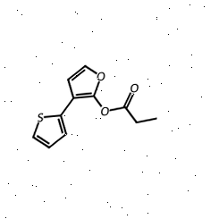 CCC(=O)Oc1occc1-c1cccs1